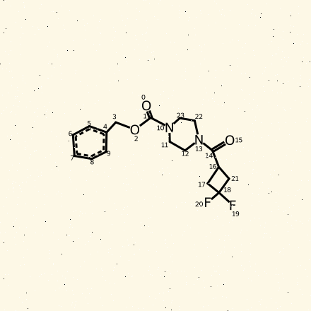 O=C(OCc1ccccc1)N1CCN(C(=O)C2CC(F)(F)C2)CC1